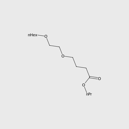 CCCCCCOCCOCCCC(=O)OCCC